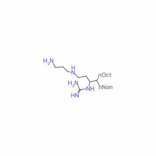 CCCCCCCCCC(CCCCCCCC)C(CCNCCCN)NC(=N)N